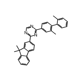 Cc1ccccc1-c1ccc(-c2ncnc(-c3ccc4c(c3)C(C)(C)c3ccccc3-4)n2)cc1C